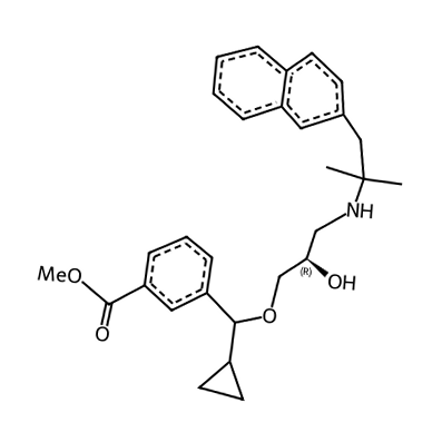 COC(=O)c1cccc(C(OC[C@H](O)CNC(C)(C)Cc2ccc3ccccc3c2)C2CC2)c1